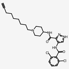 C#CCCCCCCCN1CCC(NC(=O)c2n[nH]cc2NC(=O)c2c(Cl)cccc2Cl)CC1